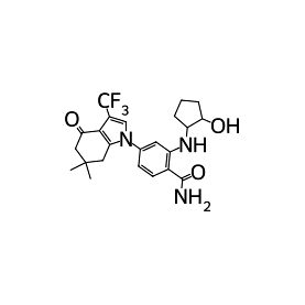 CC1(C)CC(=O)c2c(C(F)(F)F)cn(-c3ccc(C(N)=O)c(NC4CCCC4O)c3)c2C1